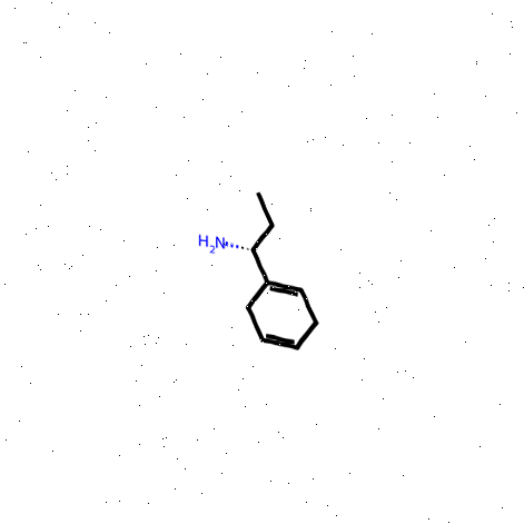 CC[C@@H](N)C1=CCC=CC1